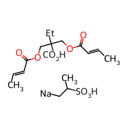 CC([CH2][Na])S(=O)(=O)O.CC=CC(=O)OCC(CC)(COC(=O)C=CC)C(=O)O